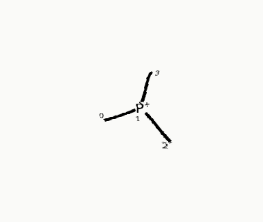 C[P+](C)C